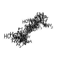 CC(C)C[C@H](NC(=O)[C@@H](C)CCCCN)C(=O)N[C@@H](CCCNC(=N)N)C(=O)N[C@@H](CCC(=O)O)C(=O)N[C@H](C(=O)N[C@H]1CC(=O)N([C@@H](C)C(=O)NCC(=O)N[C@@H](CNC(=N)N)C(=O)N[C@@H](CO)C(=O)N[C@@H](CC(=O)O)C(N)=O)C1=O)[C@@H](C)O